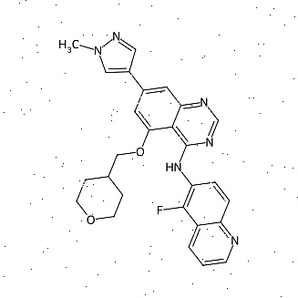 Cn1cc(-c2cc(OCC3CCOCC3)c3c(Nc4ccc5ncccc5c4F)ncnc3c2)cn1